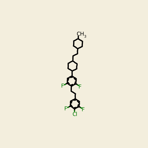 CC1CCC(CCC2CCC(c3cc(F)c(CCc4cc(F)c(Cl)c(F)c4)c(F)c3)CC2)CC1